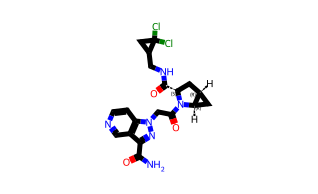 NC(=O)c1nn(CC(=O)N2[C@@H]3C[C@@H]3C[C@H]2C(=O)NCC2CC2(Cl)Cl)c2ccncc12